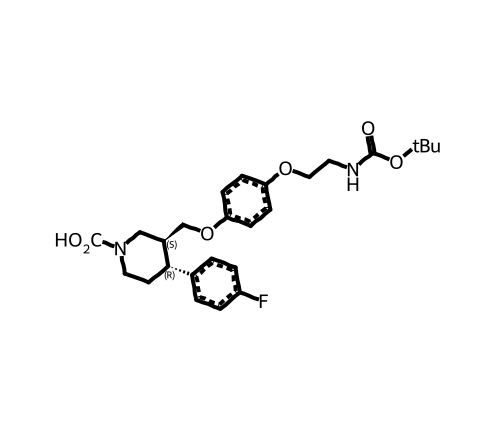 CC(C)(C)OC(=O)NCCOc1ccc(OC[C@@H]2CN(C(=O)O)CC[C@H]2c2ccc(F)cc2)cc1